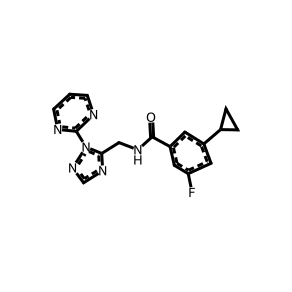 O=C(NCc1ncnn1-c1ncccn1)c1cc(F)cc(C2CC2)c1